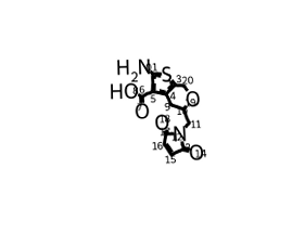 Nc1sc2c(c1C(=O)O)CC(CN1C(=O)C=CC1=O)OC2